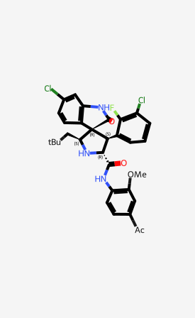 COc1cc(C(C)=O)ccc1NC(=O)[C@@H]1N[C@@H](CC(C)(C)C)[C@@]2(C(=O)Nc3cc(Cl)ccc32)[C@H]1c1cccc(Cl)c1F